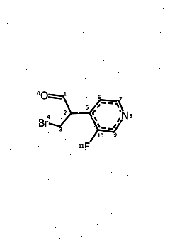 O=CC(CBr)c1ccncc1F